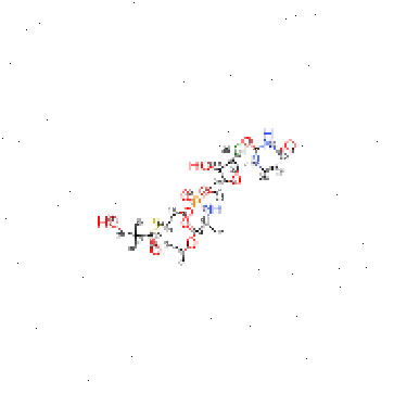 CC(C)OC(=O)C(C)NP(=O)(OCCSC(=O)C(C)(C)CO)OC[C@H]1O[C@@H](n2ccc(=O)[nH]c2=O)[C@](C)(Cl)[C@@H]1O